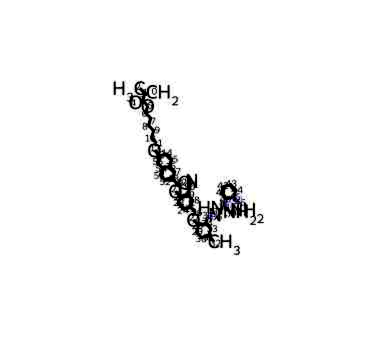 C=C(C)C(=O)OCCCCCCOc1ccc2cc(C(=O)Oc3ccc(COC4CCC(C)CC4/C=N/N/C(N)=c4\cccc\c4=C\N)cc3C#N)ccc2c1